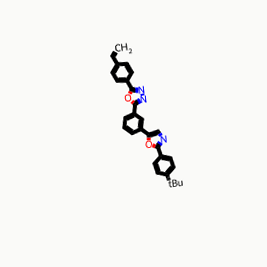 C=Cc1ccc(-c2nnc(-c3cccc(-c4cnc(-c5ccc(C(C)(C)C)cc5)o4)c3)o2)cc1